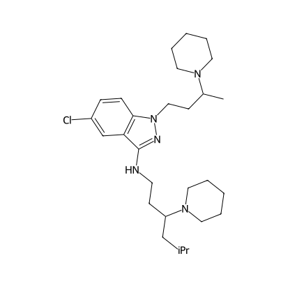 CC(C)CC(CCNc1nn(CCC(C)N2CCCCC2)c2ccc(Cl)cc12)N1CCCCC1